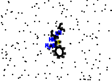 CCC(C)N=NC(C)(CC)NC(=S)N(N)C1CCCCCCC1